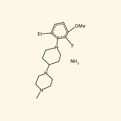 CCc1ccc(OC)c(F)c1N1CCC(N2CCN(C)CC2)CC1.N